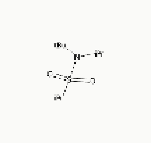 CC(C)N(C(C)(C)C)S(=O)(=O)C(C)C